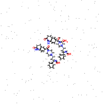 O.O=C1CCc2cc(C(=O)N3CCN(CCC(=NO)c4ccccc4)CC3)ccc2N1.O=C1CCc2cc(C(=O)N3CCN(CCC(=NO)c4ccccc4)CC3)ccc2N1